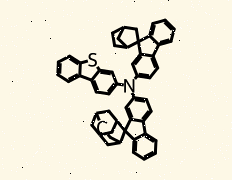 c1ccc2c(c1)-c1ccc(N(c3ccc4c(c3)C3(c5ccccc5-4)C4CCC5CC(C4)CC3C5)c3ccc4c(c3)sc3ccccc34)cc1C21CC2CCC1C2